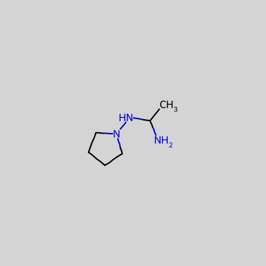 CC(N)NN1CCCC1